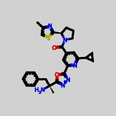 Cc1csc([C@H]2CCCN2C(=O)c2cc(-c3nnc([C@@](C)(N)Cc4ccccc4)o3)nc(C3CC3)c2)n1